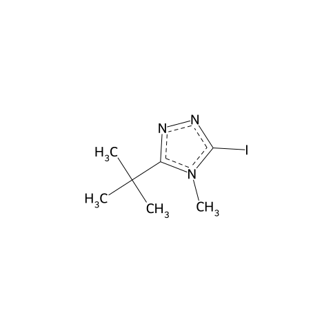 Cn1c(I)nnc1C(C)(C)C